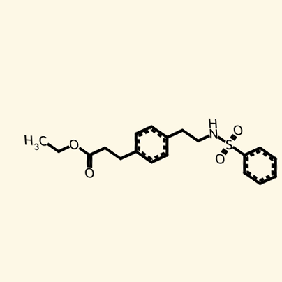 CCOC(=O)CCc1ccc(CCNS(=O)(=O)c2ccccc2)cc1